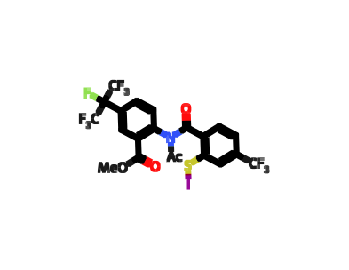 COC(=O)c1cc(C(F)(C(F)(F)F)C(F)(F)F)ccc1N(C(C)=O)C(=O)c1ccc(C(F)(F)F)cc1SI